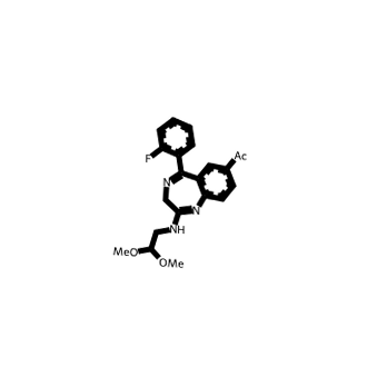 COC(CNC1=Nc2ccc(C(C)=O)cc2C(c2ccccc2F)=NC1)OC